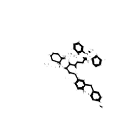 CCOc1ccc(Cc2cc(C3OC(CCC(C)(C)[Si](O)(c4ccccc4)c4ccccc4)C4OC5(OC)CCCCC5(OC)OC4C3O)ccc2Cl)cc1